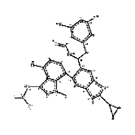 Cn1nc(N[S+](C)[O-])c2c(Cl)ccc(-c3cc4[nH]c(C5CC5)nc4nc3C(Cc3cc(F)cc(F)c3)NC=O)c21